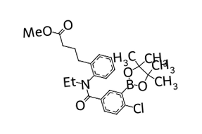 CCN(C(=O)c1ccc(Cl)c(B2OC(C)(C)C(C)(C)O2)c1)c1ccccc1CCCC(=O)OC